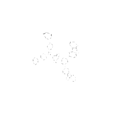 c1ccc(-c2ccc(N(c3ccc(-c4ccccc4)cc3)c3cnc(-c4cc(-c5ccc6oc7ccccc7c6c5)cc(-c5ccc6sc7ccccc7c6c5)c4)nc3)cc2)cc1